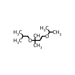 CC(C)COC(C)(C)CCOC(C)C